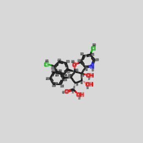 O=C(O)[C@H]1[C@@H](O)C2(O)c3ncc(Cl)cc3O[C@@]2(c2ccc(Cl)cc2)[C@@H]1c1ccccc1